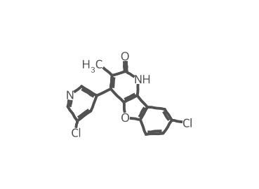 Cc1c(-c2cncc(Cl)c2)c2oc3ccc(Cl)cc3c2[nH]c1=O